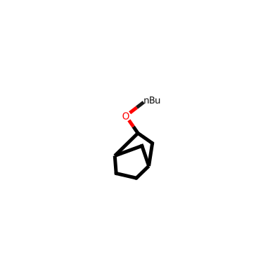 CCCCOC1CC2CCC1C2